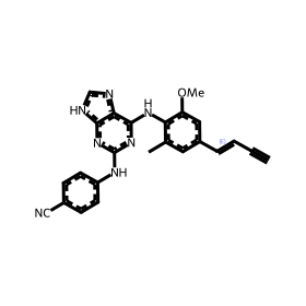 C#C/C=C/c1cc(C)c(Nc2nc(Nc3ccc(C#N)cc3)nc3[nH]cnc23)c(OC)c1